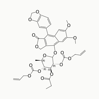 C=CCOC(=O)O[C@H]1[C@H](OC(=O)CC)[C@@H](OC(=O)OCC=C)C(Oc2c3c(c(-c4ccc5c(c4)OCO5)c4cc(OC)c(OC)cc24)C(=O)OC3)O[C@@H]1C